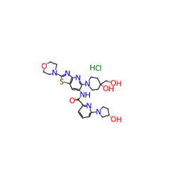 Cl.O=C(Nc1cc2sc(N3CCOCC3)nc2nc1N1CCC(O)(CO)CC1)c1cccc(N2CC[C@H](O)C2)n1